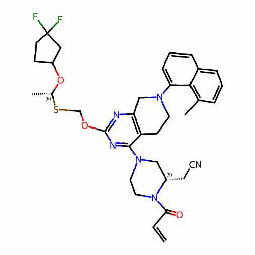 C=CC(=O)N1CCN(c2nc(OCS[C@H](C)OC3CCC(F)(F)C3)nc3c2CCN(c2cccc4cccc(C)c24)C3)C[C@@H]1CC#N